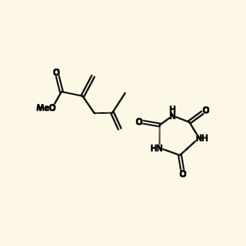 C=C(C)CC(=C)C(=O)OC.O=c1[nH]c(=O)[nH]c(=O)[nH]1